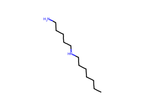 CCCCCCCNCCCCCN